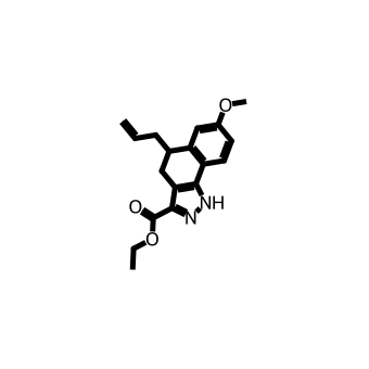 C=CCC1Cc2c(C(=O)OCC)n[nH]c2-c2ccc(OC)cc21